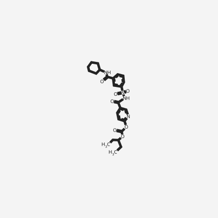 CCC(CC)OC(=O)Oc1ccc(C(=O)NS(=O)(=O)c2cccc(C(=O)NC3CCCCC3)c2)cn1